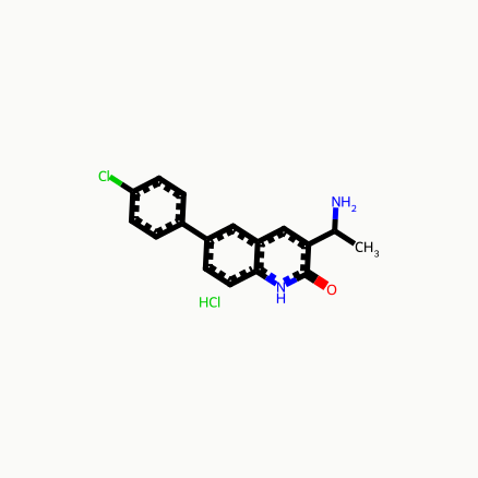 CC(N)c1cc2cc(-c3ccc(Cl)cc3)ccc2[nH]c1=O.Cl